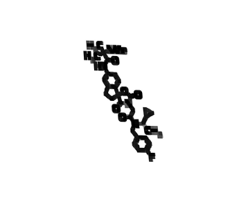 CNC(C)(C)C(=O)Nc1ccc2c(c1)CCC21OC(=O)N(CC(=O)N(Cc2ccc(F)cc2)[C@@H](C)C2CC2)C1=O